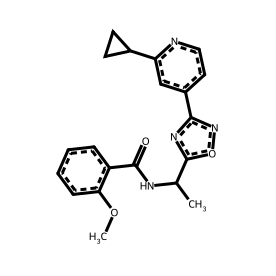 COc1ccccc1C(=O)NC(C)c1nc(-c2ccnc(C3CC3)c2)no1